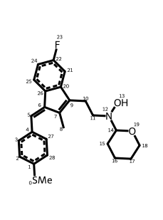 CSc1ccc(C=C2C(C)=C(CCN(O)C3CCCCO3)c3cc(F)ccc32)cc1